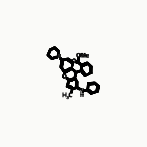 COC(=O)c1ccccc1C1c2ccc(N3CCCCC3)cc2Oc2cc(C)c(Nc3ccccc3)cc21